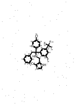 Cc1nc[nH]c1CNC(Cc1ccccc1)(c1cc(F)cc(C(F)(F)F)c1)c1ccc(Cl)cn1